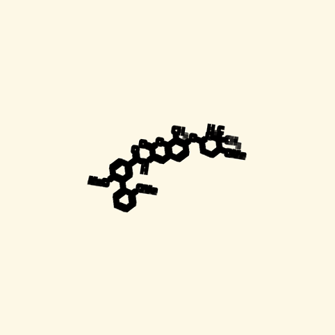 COc1ccccc1-c1cc(C(=O)Nc2cc3ccc(OC4CCC(OC)C(C)(C)O4)c(C)c3oc2=O)ccc1OC